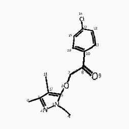 Cc1nn(C)c(OCC(=O)c2ccc(Cl)cc2)c1C